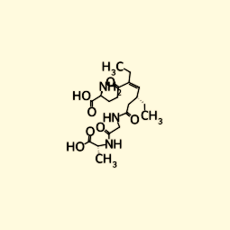 CCC(=C[C@H](CC)CC(=O)NCC(=O)N[C@H](C)C(=O)O)C(=O)CC[C@H](N)C(=O)O